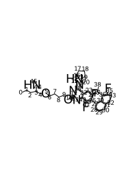 CCCC(COCCCCOc1nc(N2CC3CCC(C2)N3)c2cc(F)c(-c3cccc4ccc(F)c(CC)c34)c(F)c2n1)NC